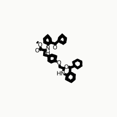 COC(=O)C(Cc1ccc(OCCNc2ccccc2C(=O)C2CCCCC2)cc1)Nc1ccccc1C(=O)c1ccccc1